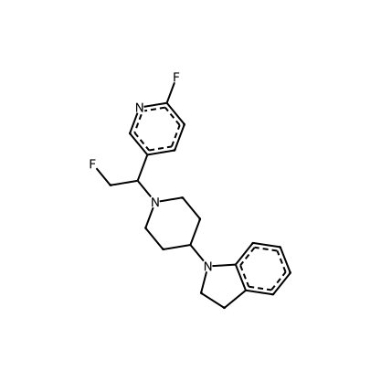 FCC(c1ccc(F)nc1)N1CCC(N2CCc3ccccc32)CC1